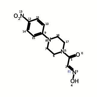 O=C(/C=N/O)N1CCN(c2ccc([N+](=O)[O-])cc2)CC1